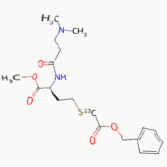 COC(=O)[C@H](CCS[13CH2]C(=O)OCc1ccccc1)NC(=O)CCN(C)C